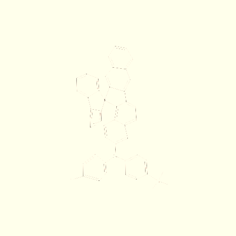 CC(C)c1ccc(N(c2ccc([Si](C)(C)C)cc2)c2ccc3c4c(ccc3c2)-c2cc3ccccc3cc2C42c3ccccc3-c3ccccc32)cc1